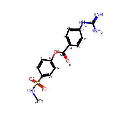 CCCNS(=O)(=O)c1ccc(OC(=O)c2ccc(NC(=N)N)cc2)cc1